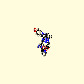 COc1ccc(-c2cc(NCCCN(C)CCC3CCCCN3C(=O)OC(C)(C)C)c3ccccc3n2)cc1